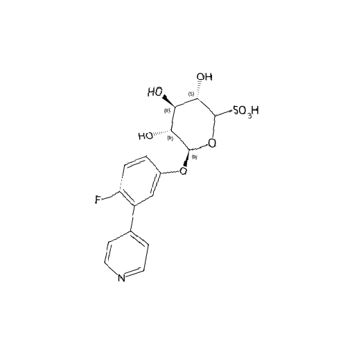 O=S(=O)(O)C1O[C@@H](Oc2ccc(F)c(-c3ccncc3)c2)[C@H](O)[C@@H](O)[C@@H]1O